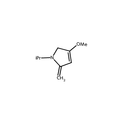 C=C1C=C(OC)CN1C(C)C